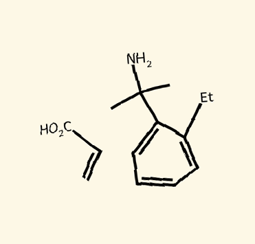 C=CC(=O)O.CCc1ccccc1C(C)(C)N